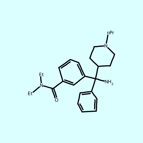 CCCN1CCC(C(N)(c2ccccc2)c2cccc(C(=O)N(CC)CC)c2)CC1